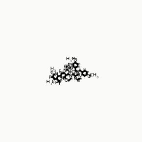 COc1ccc(CN(Cc2ccc(OC)cc2)c2nccnc2[C@@H](C)N2CCOc3nc(-c4nc(C)c(F)c(C)c4C(F)(F)F)c(F)c4nc(S(C)(=O)=O)nc2c34)cc1